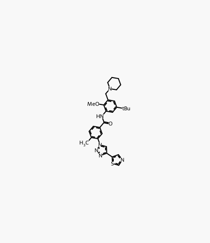 COc1c(CN2CCCCC2)cc(C(C)(C)C)cc1NC(=O)c1ccc(C)c(-n2cc(-c3cncs3)nn2)c1